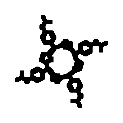 CC(C)Oc1ccc(-c2c3nc(c(-c4ccc(OC(C)C)cc4)c4ccc([nH]4)c(-c4ccc(OC(C)C)cc4)c4nc(c(-c5ccc(OC(C)C)cc5)c5ccc2[nH]5)C=C4)C=C3)cc1